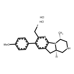 COc1ccc(-c2cc3c(nc2CF)N2[C@@H](CNC[C@H]2C)C3)cc1.Cl.Cl